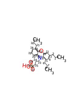 CCCc1cc(CCC)c2c(c1)Oc1c(CCC)cccc1N2CCCS(=O)(=O)O